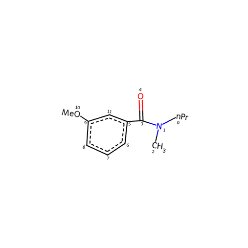 CCCN(C)C(=O)c1cc[c]c(OC)c1